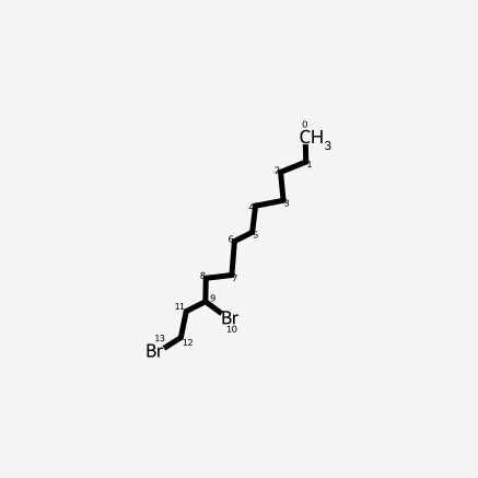 CCCCCCCCCC(Br)CCBr